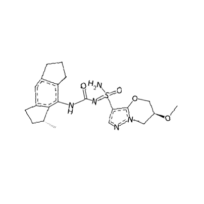 CO[C@@H]1COc2c(S(N)(=O)=NC(=O)Nc3c4c(cc5c3[C@H](C)CC5)CCC4)cnn2C1